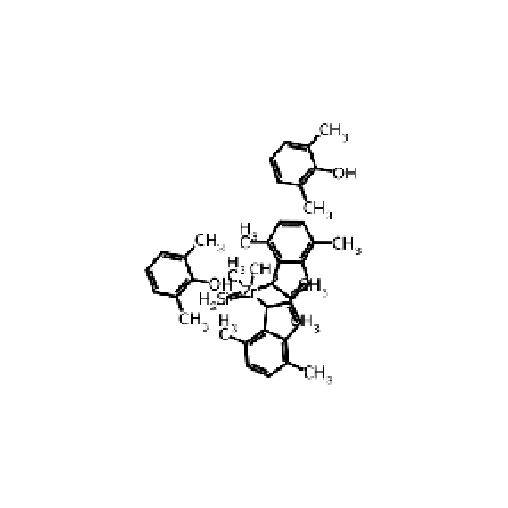 CC1=Cc2c(C)ccc(C)c2[CH]1[Zr]([CH3])([CH3])(=[SiH2])[CH]1C(C)=Cc2c(C)ccc(C)c21.Cc1cccc(C)c1O.Cc1cccc(C)c1O